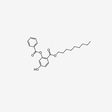 CCCCCCCCCOC(=O)c1ccc(O)cc1OC(=O)c1ccccc1